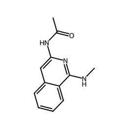 CNc1nc(NC(C)=O)cc2ccccc12